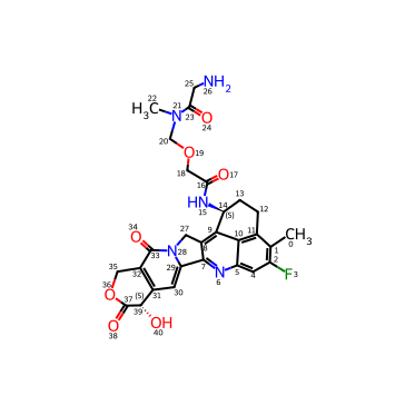 Cc1c(F)cc2nc3c(c4c2c1CC[C@@H]4NC(=O)COCN(C)C(=O)CN)Cn1c-3cc2c(c1=O)COC(=O)[C@H]2O